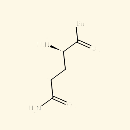 CCC(C)C(=O)[C@H](N)CCC(N)=O